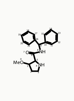 COC1CCNC1C(=O)NC(c1ccccc1)c1ccccc1